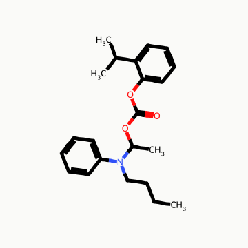 CCCCN(c1ccccc1)C(C)OC(=O)Oc1ccccc1C(C)C